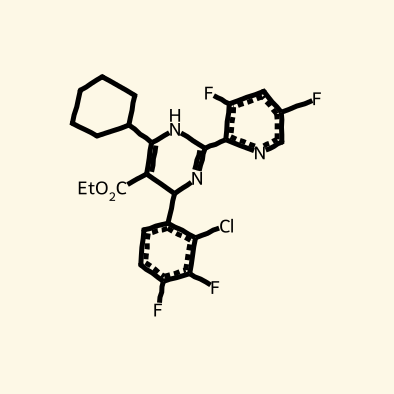 CCOC(=O)C1=C(C2CCCCC2)NC(c2ncc(F)cc2F)=NC1c1ccc(F)c(F)c1Cl